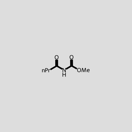 CCCC(=O)NC(=O)OC